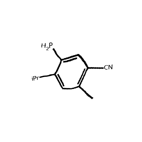 Cc1cc(C(C)C)c(P)cc1C#N